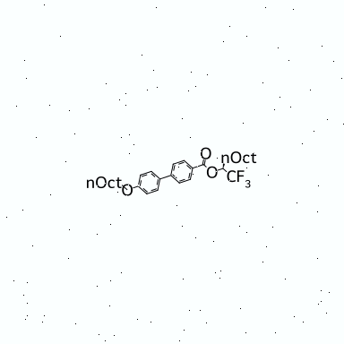 CCCCCCCCOc1ccc(-c2ccc(C(=O)O[C@@H](CCCCCCCC)C(F)(F)F)cc2)cc1